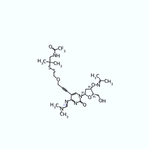 CC(C)=NO[C@@H]1C[C@H](n2cc(C#CCOCSSC(C)(C)CNC(=O)C(F)(F)F)c(/N=C/N(C)C)nc2=O)O[C@@H]1CO